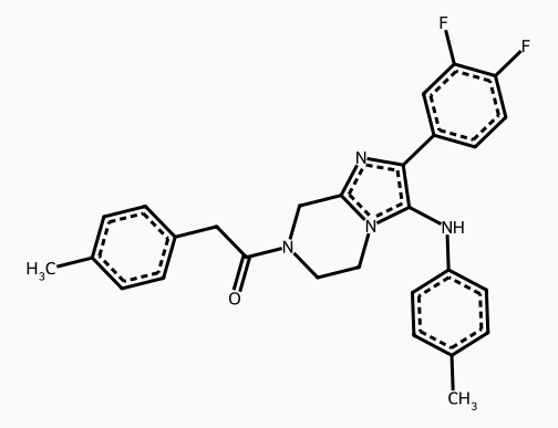 Cc1ccc(CC(=O)N2CCn3c(nc(-c4ccc(F)c(F)c4)c3Nc3ccc(C)cc3)C2)cc1